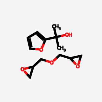 C(OCC1CO1)C1CO1.CC(C)(O)c1ccco1